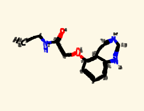 CCNC(=O)COc1cccc2ncncc12